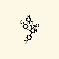 O=c1n(Cc2cnccn2)nc2c(Oc3ccc(Cl)cc3)c(-c3ccc(Cl)cc3)cnn12